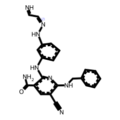 N#Cc1cc(C(N)=O)c(Nc2cccc(N/N=C\C=N)c2)nc1NCc1ccccc1